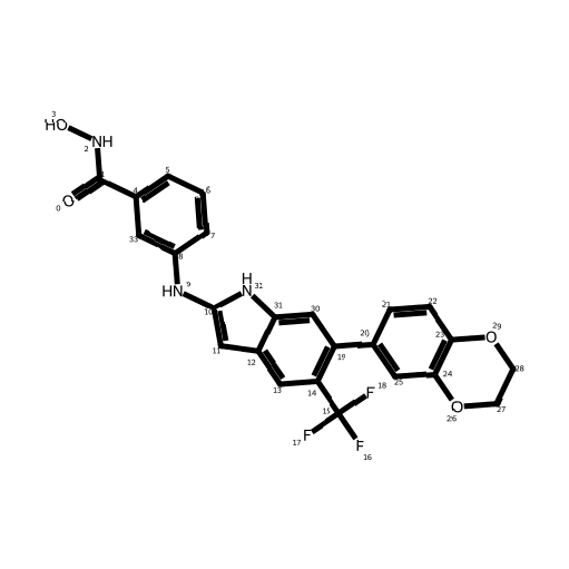 O=C(NO)c1cccc(Nc2cc3cc(C(F)(F)F)c(-c4ccc5c(c4)OCCO5)cc3[nH]2)c1